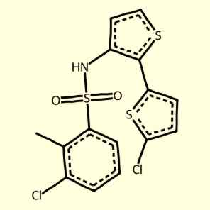 Cc1c(Cl)cccc1S(=O)(=O)Nc1ccsc1-c1ccc(Cl)s1